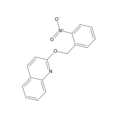 O=[N+]([O-])c1ccccc1COc1ccc2ccccc2n1